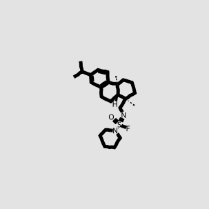 CC(C)c1ccc2c(c1)CC[C@H]1[C@](C)(CN=S(=O)(F)N3CCCCC3)CCC[C@]21C